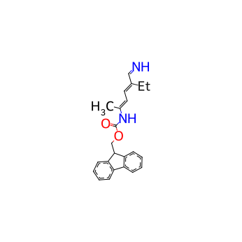 CC/C(C=N)=C\C=C(/C)NC(=O)OCC1c2ccccc2-c2ccccc21